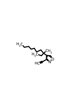 C#Cc1nocc1C(C)(CC)CCCCCCC